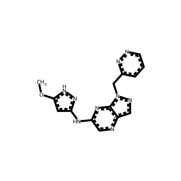 COc1cc(Nc2cnc3cnn(Cc4cccnn4)c3n2)n[nH]1